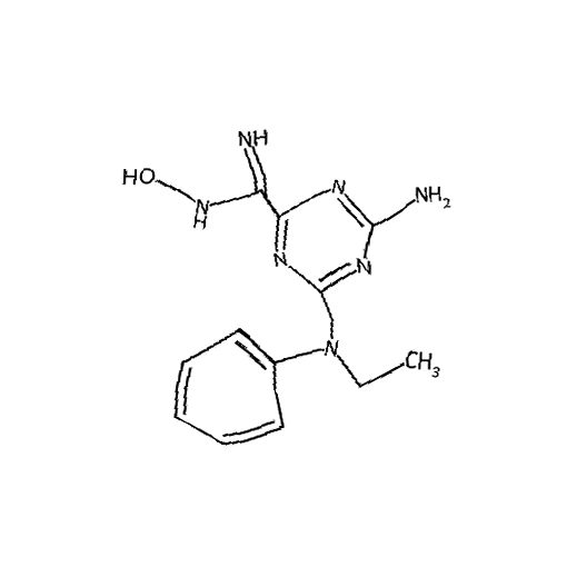 CCN(c1ccccc1)c1nc(N)nc(C(=N)NO)n1